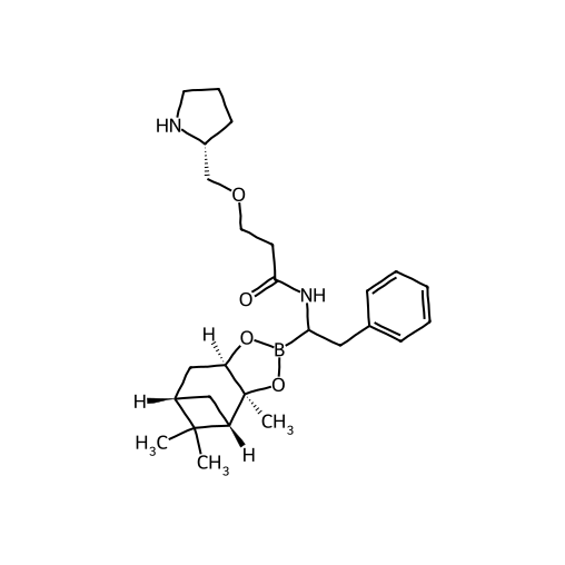 CC1(C)[C@@H]2C[C@H]3OB(C(Cc4ccccc4)NC(=O)CCOC[C@H]4CCCN4)O[C@@]3(C)[C@H]1C2